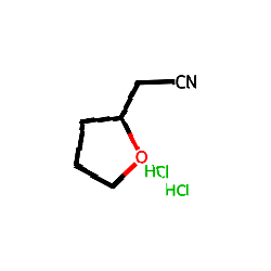 Cl.Cl.N#CCC1CCCO1